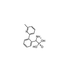 Cc1cccc(-c2ccccc2C(N)P(=O)(O)O)n1